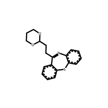 c1ccc2c(c1)N=C(CCC1OCCCO1)c1ccccc1S2